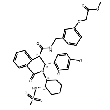 COC(=O)COc1cccc(CNC(=O)[C@@H]2c3ccccc3C(=O)N([C@H]3CCCC[C@@H]3NS(C)(=O)=O)[C@H]2c2ccc(Cl)cc2Cl)c1